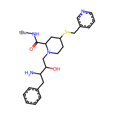 CC(C)(C)NC(=O)C1CC(SCc2cccnc2)CCN1CC(O)C(N)Cc1ccccc1